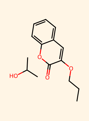 CC(C)O.CCCOc1cc2ccccc2oc1=O